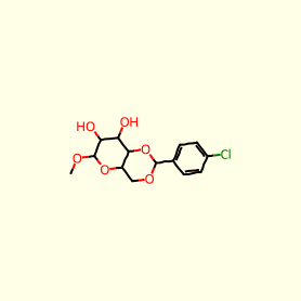 COC1OC2COC(c3ccc(Cl)cc3)OC2C(O)C1O